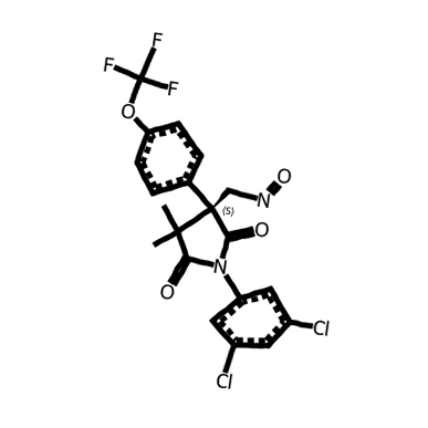 CC1(C)C(=O)N(c2cc(Cl)cc(Cl)c2)C(=O)[C@@]1(CN=O)c1ccc(OC(F)(F)F)cc1